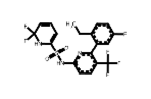 CCc1ccc(F)cc1-c1nc(NS(=O)(=O)C2=CC=CC(F)(F)N2)ccc1C(F)(F)F